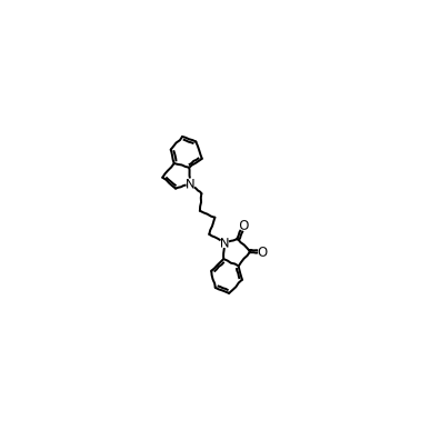 O=C1C(=O)N(CCCCn2ccc3ccccc32)c2ccccc21